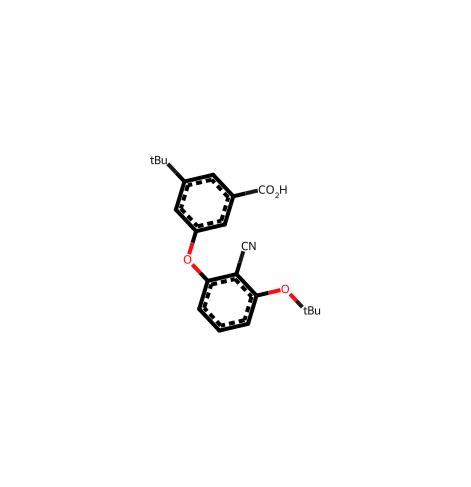 CC(C)(C)Oc1cccc(Oc2cc(C(=O)O)cc(C(C)(C)C)c2)c1C#N